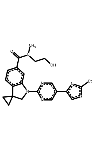 CCc1nc(-c2cnc(N3CC4(CC4)c4ccc(C(=O)N(C)CCO)cc43)nc2)cs1